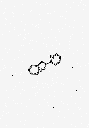 c1ccc(-c2cc3ccccn3c2)nc1